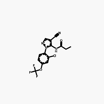 CCC(=O)Nc1c(C#N)cnn1-c1ccc(OC(F)(F)F)cc1Cl